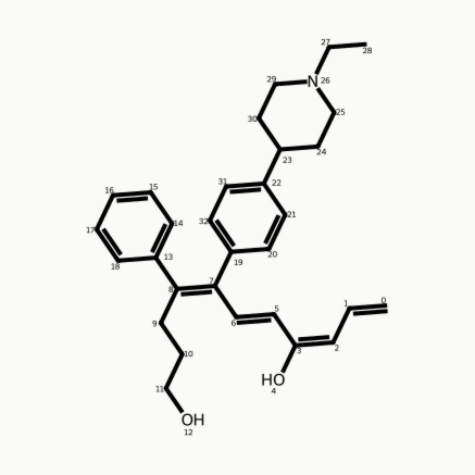 C=C\C=C(O)/C=C/C(=C(\CCCO)c1ccccc1)c1ccc(C2CCN(CC)CC2)cc1